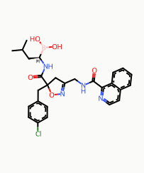 CC(C)C[C@H](NC(=O)C1(Cc2ccc(Cl)cc2)CC(CNC(=O)c2nccc3ccccc23)=NO1)B(O)O